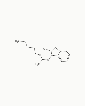 CCCCCOC(C)OC1c2ccccc2CC1Cl